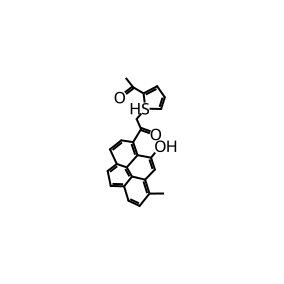 CC(=O)C1=CC=C[SH]1CC(=O)c1ccc2ccc3ccc(C)c4cc(O)c1c2c34